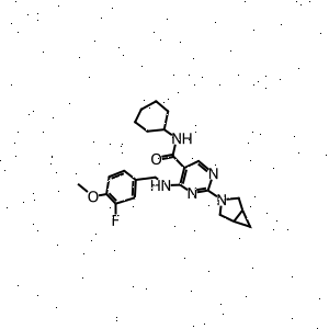 COc1ccc(CNc2nc(N3CC4CC4C3)ncc2C(=O)NC2CCCCC2)cc1F